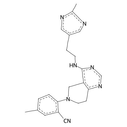 Cc1ccc(N2CCc3ncnc(NCCc4cnc(C)nc4)c3C2)c(C#N)c1